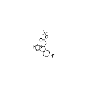 CC(C)(C)OC(=O)CC1c2cc(F)ccc2-c2cncn21